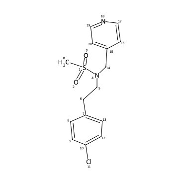 CS(=O)(=O)N(CCc1ccc(Cl)cc1)Cc1ccncc1